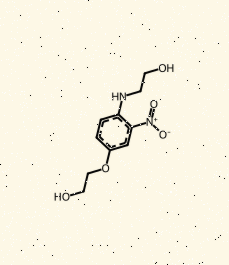 O=[N+]([O-])c1cc(OCCO)ccc1NCCO